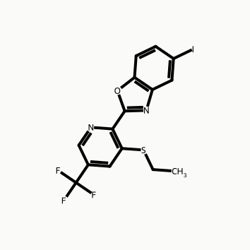 CCSc1cc(C(F)(F)F)cnc1-c1nc2cc(I)ccc2o1